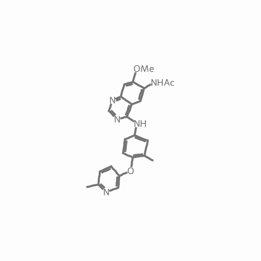 COc1cc2ncnc(Nc3ccc(Oc4ccc(C)nc4)c(C)c3)c2cc1NC(C)=O